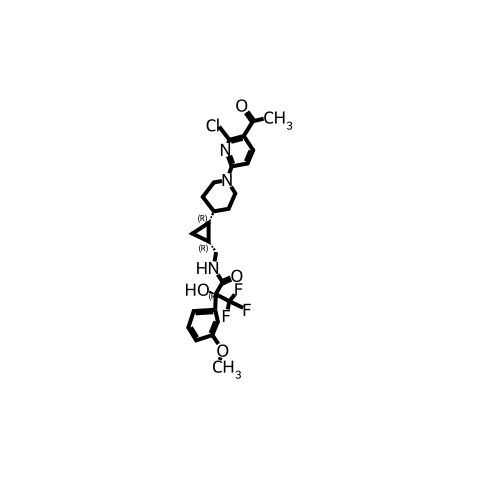 COc1cccc([C@@](O)(C(=O)NC[C@@H]2C[C@@H]2C2CCN(c3ccc(C(C)=O)c(Cl)n3)CC2)C(F)(F)F)c1